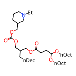 C[CH]CCCCCCCCCC(COC(=O)CCC(OCCCCCCCC)OCCCCCCCC)COC(=O)OCC1CCCN(CC)C1